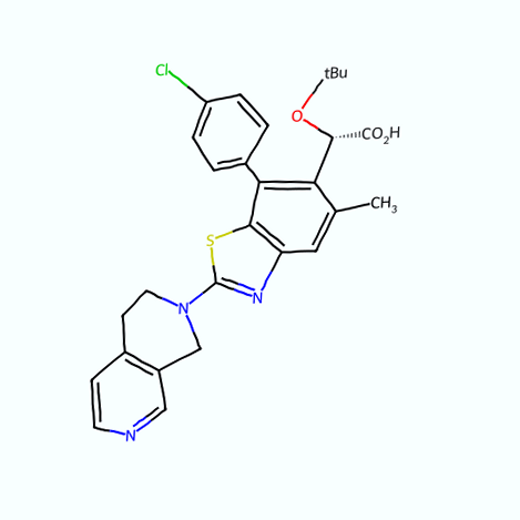 Cc1cc2nc(N3CCc4ccncc4C3)sc2c(-c2ccc(Cl)cc2)c1[C@H](OC(C)(C)C)C(=O)O